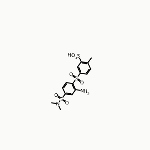 Cc1ccc(S(=O)(=O)c2ccc(S(=O)(=O)N(C)C)cc2N)cc1S(=O)(=O)O